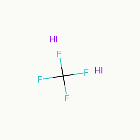 FC(F)(F)F.I.I